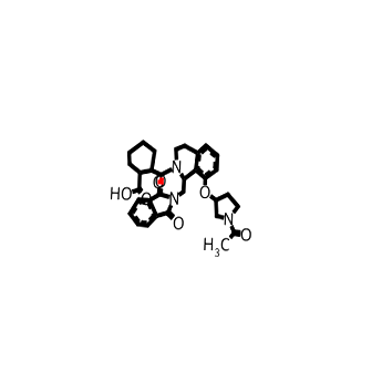 CC(=O)N1CCC(Oc2cccc3c2C(CN2C(=O)c4ccccc4C2=O)N(C(=O)C2CCCCC2C(=O)O)CC3)C1